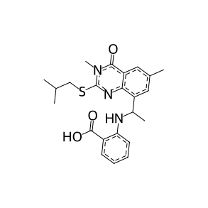 Cc1cc(C(C)Nc2ccccc2C(=O)O)c2nc(SCC(C)C)n(C)c(=O)c2c1